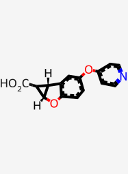 O=C(O)C1[C@H]2Oc3ccc(Oc4ccncc4)cc3[C@@H]12